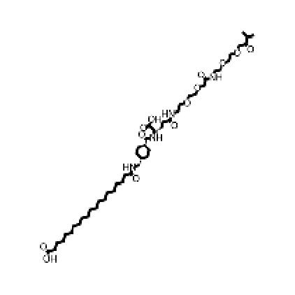 CC(C)C(=O)COCCOCCNC(=O)COCCOCCNC(=O)CC[C@H](NC(=O)[C@H]1CC[C@H](CNC(=O)CCCCCCCCCCCCCCCCCCC(=O)O)CC1)C(=O)O